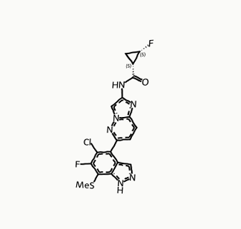 CSc1c(F)c(Cl)c(-c2ccc3nc(NC(=O)[C@@H]4C[C@@H]4F)cn3n2)c2cn[nH]c12